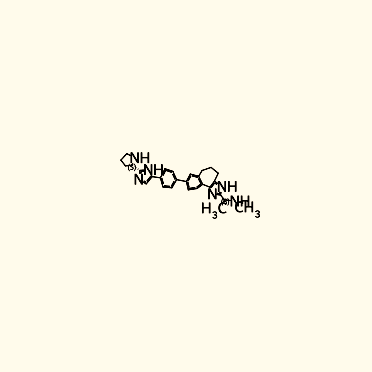 CN[C@@H](C)c1nc2c([nH]1)CCCc1cc(-c3ccc(-c4cnc([C@@H]5CCCN5)[nH]4)cc3)ccc1-2